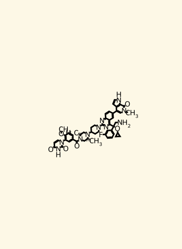 COc1ccc(C(=O)N2C[C@H](C)N(C3CCN(c4nc(C(CN)(OC5CC5)c5cccc(F)c5)c5cc(-c6cn(C)c(=O)c7[nH]ccc67)ccc5n4)CC3)C[C@H]2C)cc1-n1ccc(=O)[nH]c1=O